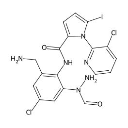 NCc1cc(Cl)cc(N(N)C=O)c1NC(=O)c1ccc(I)n1-c1ncccc1Cl